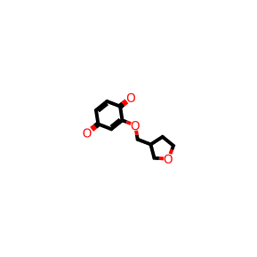 O=C1C=CC(=O)C(OCC2CCOC2)=C1